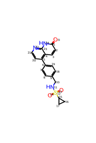 O=c1ccc2c(-c3ccc(CNS(=O)(=O)C4CC4)cc3)ccnc2[nH]1